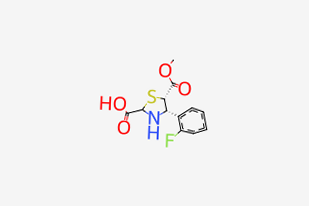 COC(=O)[C@H]1SC(C(=O)O)N[C@H]1c1ccccc1F